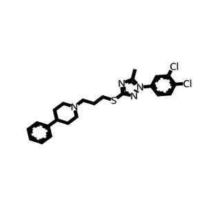 Cc1nc(SCCCN2CCC(c3ccccc3)CC2)nn1-c1ccc(Cl)c(Cl)c1